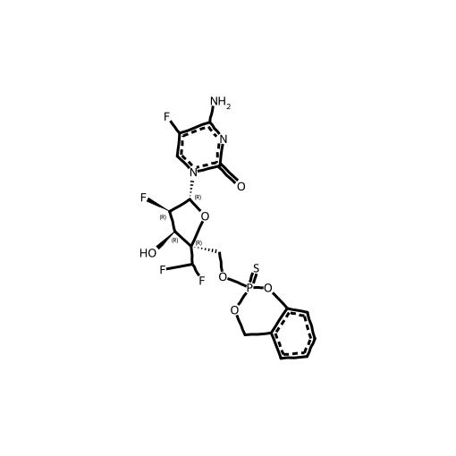 Nc1nc(=O)n([C@@H]2O[C@@](COP3(=S)OCc4ccccc4O3)(C(F)F)[C@@H](O)[C@H]2F)cc1F